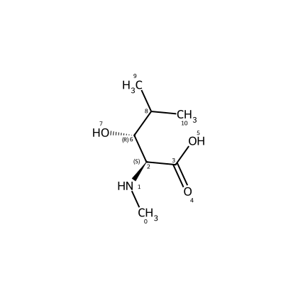 CN[C@H](C(=O)O)[C@H](O)C(C)C